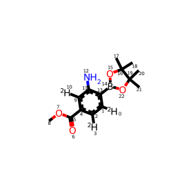 [2H]c1c([2H])c(C(=O)OC)c([2H])c(N)c1B1OC(C)(C)C(C)(C)O1